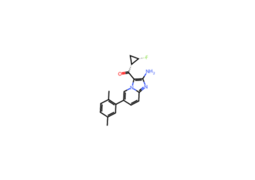 Cc1ccc(C)c(-c2ccc3nc(N)c(C(=O)[C@@H]4C[C@@H]4F)n3c2)c1